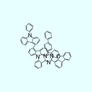 c1ccc(-c2ccc(-c3nc(-c4ccccc4-n4c5cc(-c6ccccc6)ccc5c5c(-c6cccc7c6c6ccccc6n7-c6ccccc6)cccc54)nc(-c4cccc5c4oc4ccccc45)n3)cc2)cc1